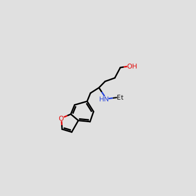 CCNC(CCCO)Cc1ccc2ccoc2c1